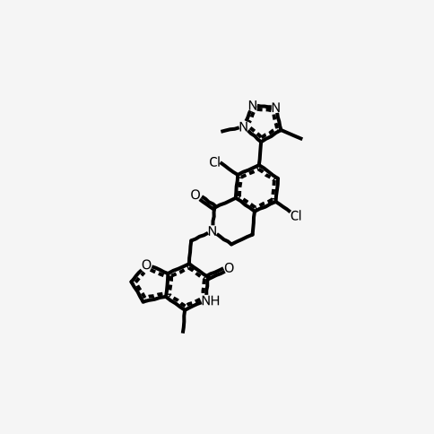 Cc1nnn(C)c1-c1cc(Cl)c2c(c1Cl)C(=O)N(Cc1c(=O)[nH]c(C)c3ccoc13)CC2